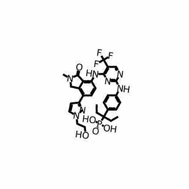 CCC(CC)(c1ccc(Nc2ncc(C(F)(F)F)c(Nc3ccc(-c4ccn(CCO)n4)c4c3C(=O)N(C)C4)n2)cc1)P(=O)(O)O